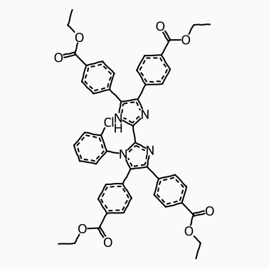 CCOC(=O)c1ccc(-c2nc(-c3nc(-c4ccc(C(=O)OCC)cc4)c(-c4ccc(C(=O)OCC)cc4)n3-c3ccccc3Cl)[nH]c2-c2ccc(C(=O)OCC)cc2)cc1